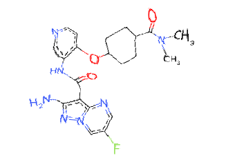 CN(C)C(=O)C1CCC(Oc2ccncc2NC(=O)c2c(N)nn3cc(F)cnc23)CC1